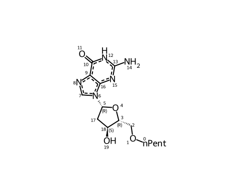 CCCCCOC[C@H]1O[C@@H](n2cnc3c(=O)[nH]c(N)nc32)C[C@@H]1O